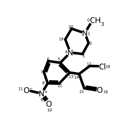 CN1CCN(c2ccc([N+](=O)[O-])cc2C(C=O)CCl)CC1